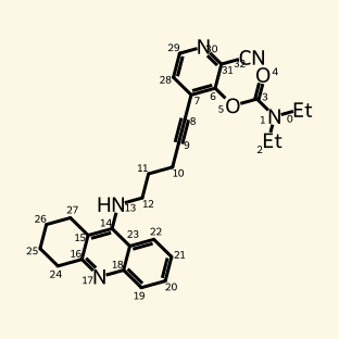 CCN(CC)C(=O)Oc1c(C#CCCCNc2c3c(nc4ccccc24)CCCC3)ccnc1C#N